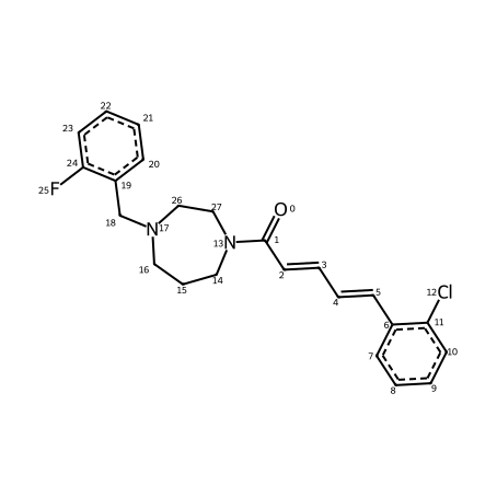 O=C(C=CC=Cc1ccccc1Cl)N1CCCN(Cc2ccccc2F)CC1